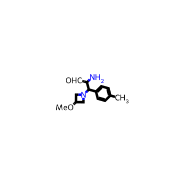 COC1CN(C(c2ccc(C)cc2)C(N)C=O)C1